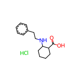 Cl.O=C(O)C1CCCCC1NCCc1ccccc1